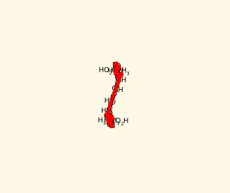 CC1(C)SCN(S(=O)(=O)c2cccnc2)[C@@H]1C(=O)N[C@@H](Cc1ccc(-n2c(=O)n(CC(=O)NCCOCCOCCC(=O)NCCCOCCOCCCNC(=O)CCOCCOCCNC(=O)Cn3c(=O)n(-c4ccc(C[C@H](NC(=O)[C@H]5N(S(=O)(=O)c6cccnc6)CSC5(C)C)C(=O)O)cc4)c4ncccc43)c3cccnc32)cc1)C(=O)O